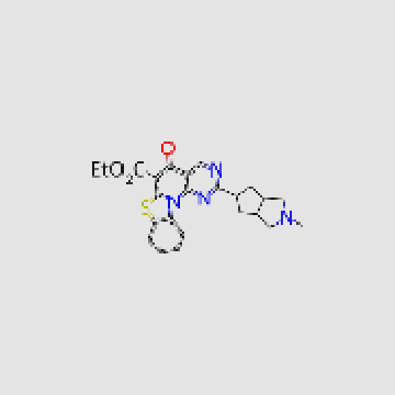 CCOC(=O)c1c(=O)c2cnc(C3CC4CN(C)CC4C3)nc2n2c1sc1ccccc12